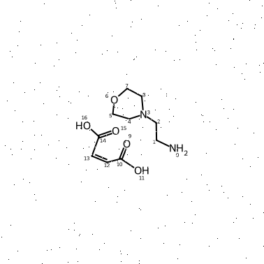 NCCN1CCOCC1.O=C(O)/C=C\C(=O)O